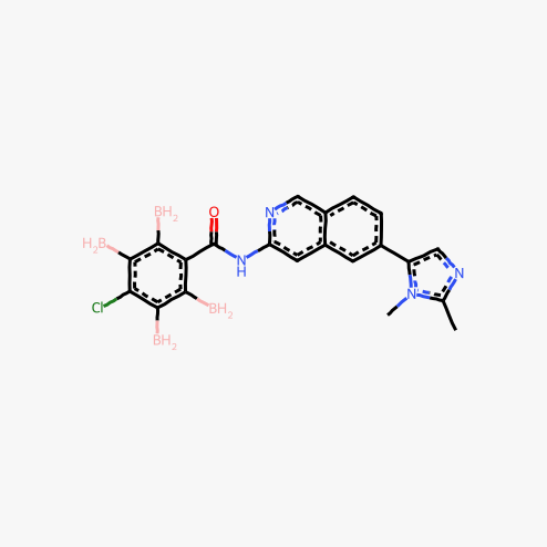 Bc1c(B)c(C(=O)Nc2cc3cc(-c4cnc(C)n4C)ccc3cn2)c(B)c(B)c1Cl